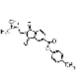 Cc1ccc(OC(=O)c2ccc3c(c2)C(=O)N(CCN(C)C)C3=O)cc1